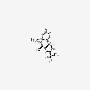 CN1C(=O)c2cc(C(F)(F)F)ccc2N2CCNCC12